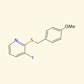 COc1ccc(CSc2ncccc2I)cc1